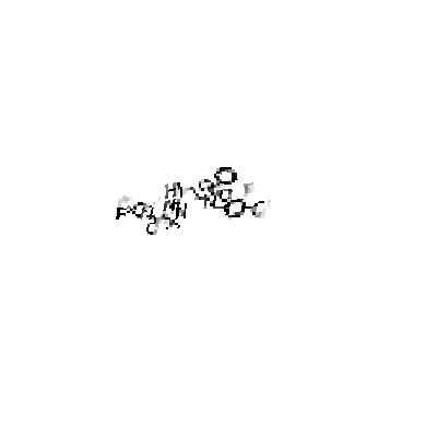 C=C(CCN(Cc1ccc(Cl)c(F)c1)S(=O)(=O)c1ccccc1)C1=NC(C)(C)[C@H](C(=O)N2CC(F)(F)C[C@@H]2C)N1